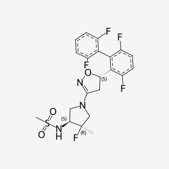 C[C@@]1(F)CN(C2=NO[C@H](c3c(F)ccc(F)c3-c3c(F)cccc3F)C2)C[C@@H]1NS(C)(=O)=O